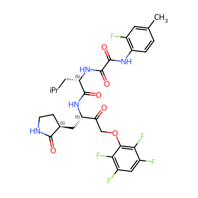 Cc1ccc(NC(=O)C(=O)N[C@@H](CC(C)C)C(=O)N[C@@H](C[C@@H]2CCNC2=O)C(=O)COc2c(F)c(F)cc(F)c2F)c(F)c1